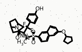 CN([C@@H](C(=O)N1C2CCC1CC(N)C2)C(F)(F)c1ccc(O)cc1)S(=O)(=O)c1ccc2cc(OC3CCCC3)ccc2c1